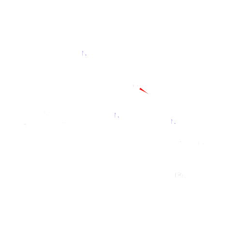 C=C(OCC)c1cnc(O[C@H]2CCN(C(=O)OC(C)(C)C)C2)c2cnc(Cl)cc12